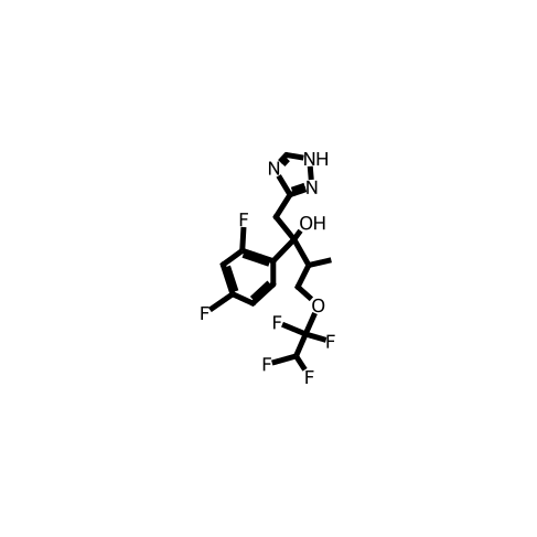 CC(COC(F)(F)C(F)F)C(O)(Cc1nc[nH]n1)c1ccc(F)cc1F